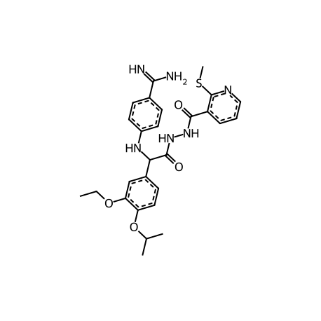 CCOc1cc(C(Nc2ccc(C(=N)N)cc2)C(=O)NNC(=O)c2cccnc2SC)ccc1OC(C)C